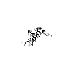 CCNC(=O)Nc1cc(-c2nc(C(F)(F)F)cs2)c(-c2cnc3c(c2)c(=O)c(C(=O)O)cn3C[C@@H]2CCCN2CC)cn1